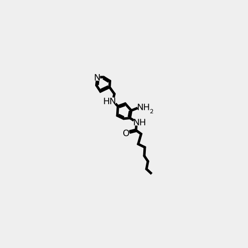 CCCCCCCC(=O)Nc1ccc(NCc2ccncc2)cc1N